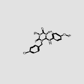 CC(C)Oc1ccc(NC2N(N)C(=O)N(C(C)C)C(=S)N2Cc2ccc(Cl)cc2)cc1